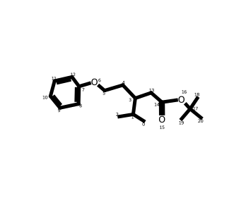 CC(C)C(CCOc1ccccc1)CC(=O)OC(C)(C)C